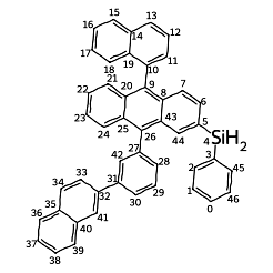 c1ccc([SiH2]c2ccc3c(-c4cccc5ccccc45)c4ccccc4c(-c4cccc(-c5ccc6ccccc6c5)c4)c3c2)cc1